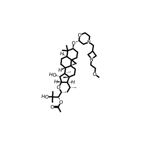 COCCN1CC(CN2CCO[C@@H](O[C@H]3CCC45C[C@]46CC[C@]4(C)[C@@H]7[C@H](O[C@@H]([C@H](OC(C)=O)C(C)(C)O)C[C@H]7C)[C@H](O)[C@@]4(C)[C@@H]6CC[C@H]5C3(C)C)C2)C1